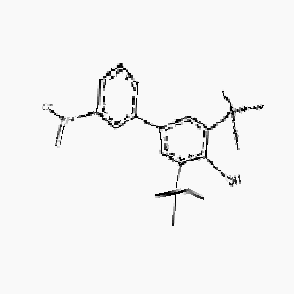 CC(C)(C)c1cc(-c2cccc([N+](=O)[O-])c2)cc(C(C)(C)C)c1O